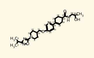 CC(C)c1noc(N2CCC(COc3ccc(C4=CCC(C(=O)NC[C@H](C)O)CC4)nc3)CC2)n1